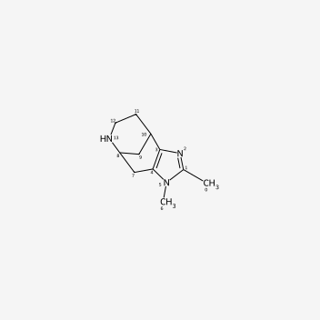 Cc1nc2c(n1C)CC1CC2CCN1